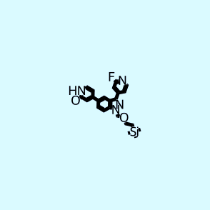 C[Si](C)(C)CCOCn1nc(-c2ccnc(F)c2)c2cc(-c3cc[nH]c(=O)c3)ccc21